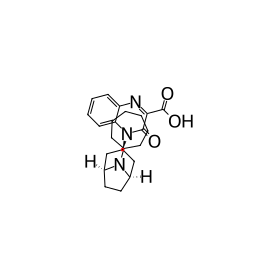 O=C(O)c1nc2ccccc2n([C@H]2C[C@H]3CC[C@@H](C2)N3C2CCCCCC2)c1=O